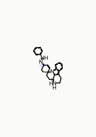 C1=C[C@@]2(CC/C1=N/Nc1ccccc1)CC[C@@H]1NCCc3c1n2c1ccccc31